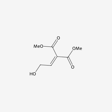 COC(=O)C(=CCO)C(=O)OC